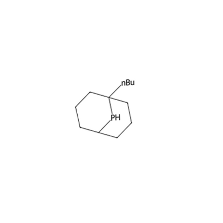 CCCCC12CCCC(CCC1)P2